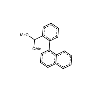 COC(OC)c1ccccc1-c1cccc2ccccc12